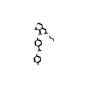 NCCNc1cc2cc[nH]c(=O)c2c(Nc2ccc(C(=O)Nc3ccc(Cl)cc3)cc2)n1